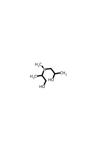 CC(O)CN(C)C(C)CO